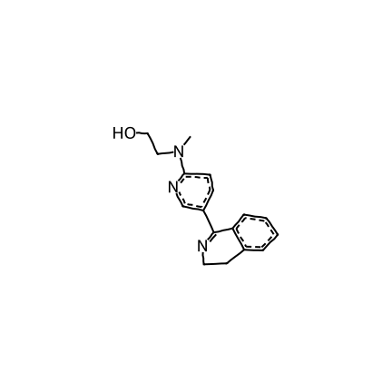 CN(CCO)c1ccc(C2=NCCc3ccccc32)cn1